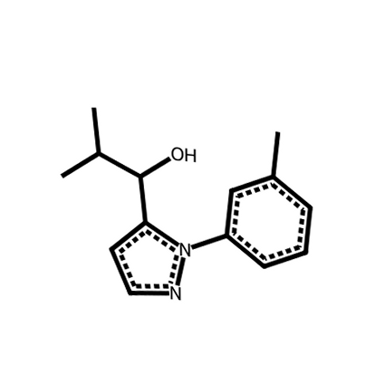 Cc1cccc(-n2nccc2C(O)C(C)C)c1